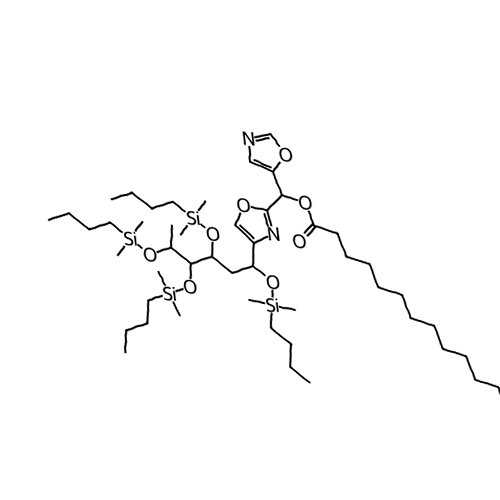 CCCCCCCCCCCCCC(=O)OC(c1cnco1)c1nc(C(CC(O[Si](C)(C)CCCC)C(O[Si](C)(C)CCCC)C(C)O[Si](C)(C)CCCC)O[Si](C)(C)CCCC)co1